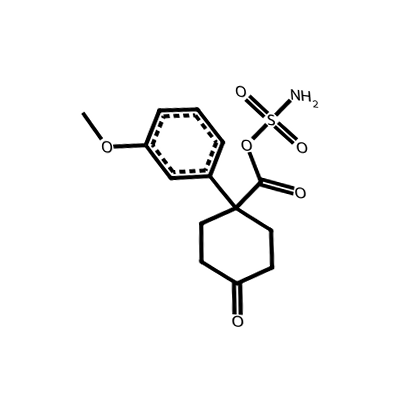 COc1cccc(C2(C(=O)OS(N)(=O)=O)CCC(=O)CC2)c1